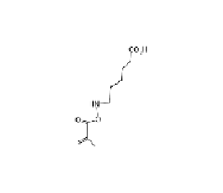 C=C(C)C(=O)ONCCCCCC(=O)O